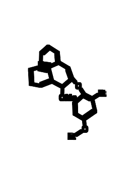 CCOc1ccc(O/C(=C/c2cccnc2)C(OC)c2ccccc2)c(CC)c1